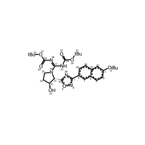 CC(C)COc1ccc2cc(-c3noc([C@@H]4[C@@H](O)CCN4/C(=N\C(=O)OC(C)(C)C)NC(=O)OC(C)(C)C)n3)ccc2c1